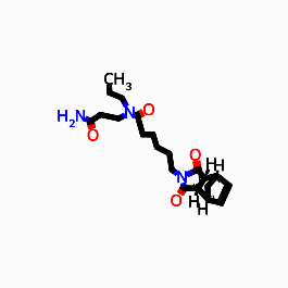 CCCN(CCC(N)=O)C(=O)CCCCCN1C(=O)[C@@H]2[C@H](C1=O)[C@H]1C=C[C@@H]2C1